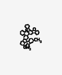 CC1C=C2C(=CC1)C1(C3=C(C=CCC3C)c3ccc(-c4cc5c6ccccc6oc5c5c6ccccc6n(-c6ccccc6)c45)cc31)c1ccccc12